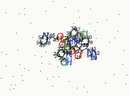 O=C(Cc1ccc(C(CCn2ccnc2)(C(=O)ONc2c(Cl)cccc2Cl)c2ccccc2Nc2c(Cl)cccc2Cl)cc1)OCCc1ccccn1